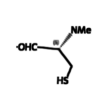 CN[C@@H]([C]=O)CS